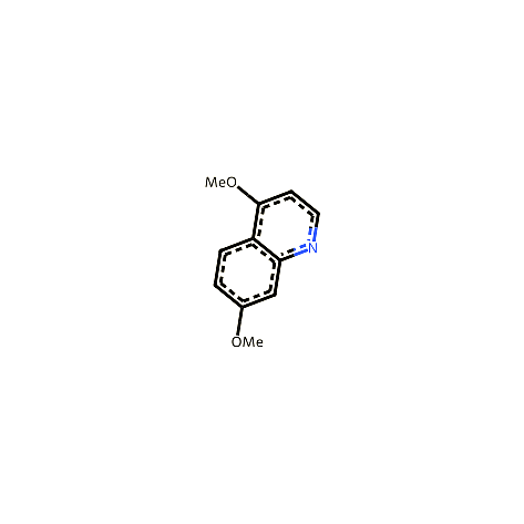 COc1ccc2c(OC)ccnc2c1